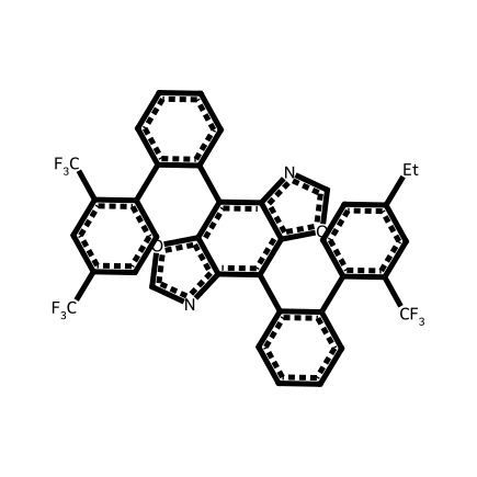 CCc1ccc(-c2ccccc2-c2c3ncoc3c(-c3ccccc3-c3ccc(C(F)(F)F)cc3C(F)(F)F)c3ncoc23)c(C(F)(F)F)c1